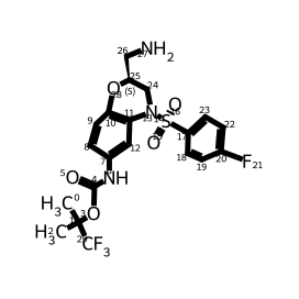 CC(C)(OC(=O)Nc1ccc2c(c1)N(S(=O)(=O)c1ccc(F)cc1)C[C@H](CN)O2)C(F)(F)F